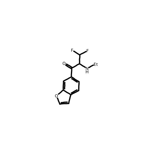 CCNC(C(=O)c1ccc2ccoc2c1)C(F)F